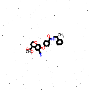 COC(=O)C1CCOc2cc(Oc3ccc(C(=O)NC[C@H](C)c4ccccc4)cc3)c(C#N)cc21